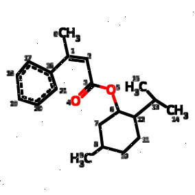 CC(=CC(=O)OC1CC(C)CCC1C(C)C)c1ccccc1